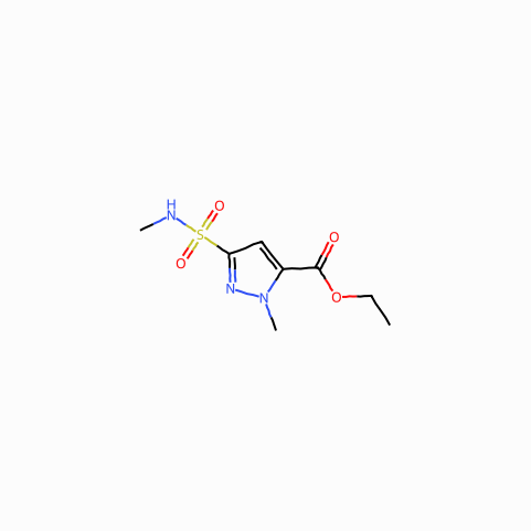 CCOC(=O)c1cc(S(=O)(=O)NC)nn1C